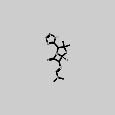 CN(C)/C=N/C1C(=O)N2C(c3nnn[nH]3)C(C)(C)S[C@H]12